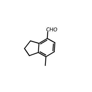 Cc1ccc(C=O)c2c1CCC2